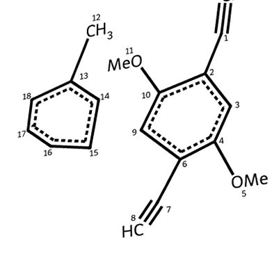 C#Cc1cc(OC)c(C#C)cc1OC.Cc1ccccc1